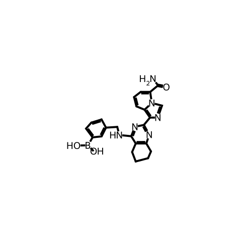 NC(=O)c1cccc2c(-c3nc4c(c(NCc5cccc(B(O)O)c5)n3)CCCC4)ncn12